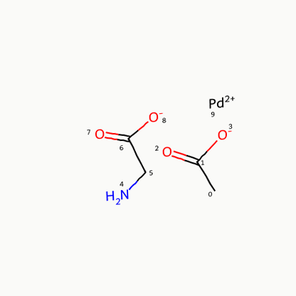 CC(=O)[O-].NCC(=O)[O-].[Pd+2]